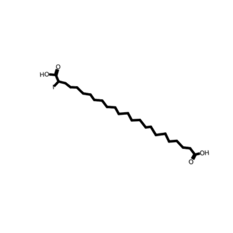 O=C(O)CCCCCCCCCCCCCCCCCCCCCC(I)C(=O)O